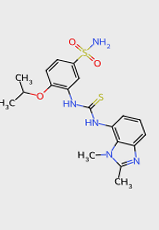 Cc1nc2cccc(NC(=S)Nc3cc(S(N)(=O)=O)ccc3OC(C)C)c2n1C